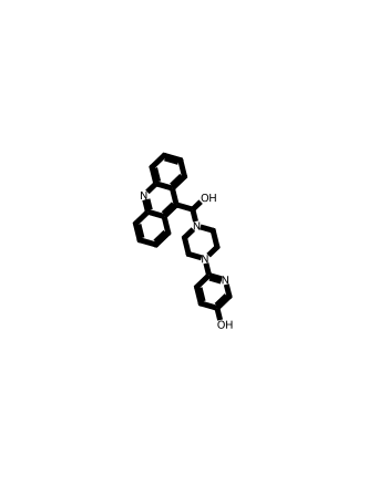 Oc1ccc(N2CCN(C(O)c3c4ccccc4nc4ccccc34)CC2)nc1